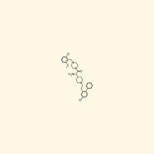 CSc1cccc(Cl)c1CN1CCN(C(=O)[C@H](N)C2CCN(CCc3cc(Cl)ccc3-c3ccccc3)CC2)CC1